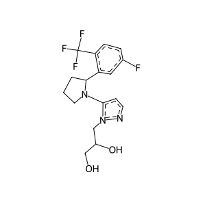 OCC(O)Cn1nccc1N1CCCC1c1cc(F)ccc1C(F)(F)F